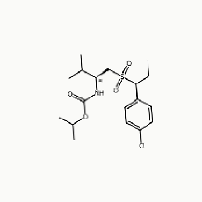 CCC(c1ccc(Cl)cc1)S(=O)(=O)C[C@@H](NC(=O)OC(C)C)C(C)C